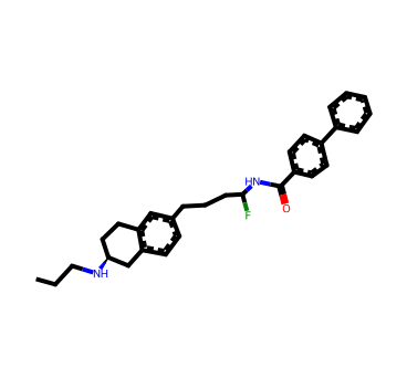 CCCN[C@H]1CCc2cc(CCCC(F)NC(=O)c3ccc(-c4ccccc4)cc3)ccc2C1